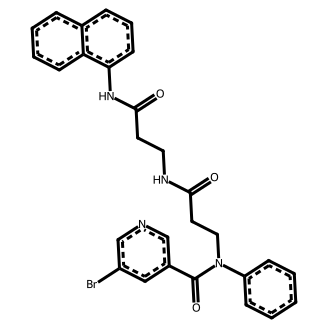 O=C(CCN(C(=O)c1cncc(Br)c1)c1ccccc1)NCCC(=O)Nc1cccc2ccccc12